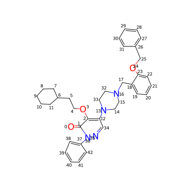 O=c1c(OCCC2CCCCC2)c(N2CCN(Cc3ccccc3OCc3ccccc3)CC2)cnn1-c1ccccc1